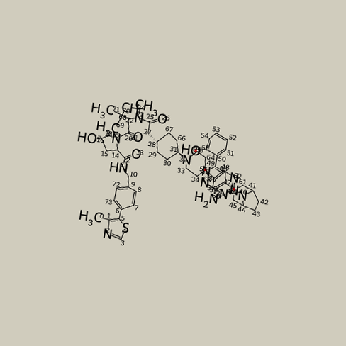 Cc1ncsc1-c1ccc(CNC(=O)C2C[C@@H](O)CN2C(=O)C(N(C)C(=O)C[C@H]2CC[C@H](N3CCC(c4cnc(N5C6CCC5CN(c5cc(-c7ccccc7O)nnc5N)C6)nc4)CC3)CC2)C(C)(C)C)cc1